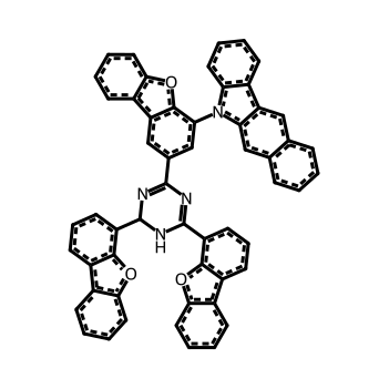 c1ccc2cc3c(cc2c1)c1ccccc1n3-c1cc(C2=NC(c3cccc4c3oc3ccccc34)NC(c3cccc4c3oc3ccccc34)=N2)cc2c1oc1ccccc12